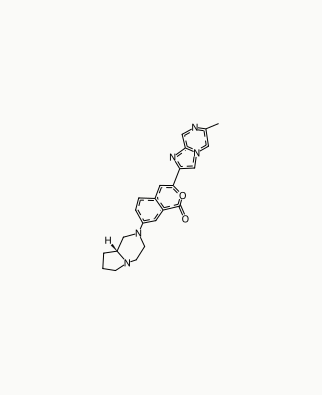 Cc1cn2cc(-c3cc4ccc(N5CCN6CCC[C@@H]6C5)cc4c(=O)o3)nc2cn1